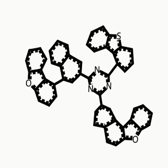 c1ccc2c(-c3cccc4oc5ccccc5c34)cc(-c3nc(-c4ccc5ccc6oc7ccccc7c6c5c4)nc(-c4cccc5sc6ccccc6c45)n3)cc2c1